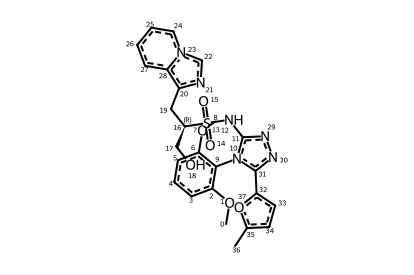 COc1cccc(OC)c1-n1c(NS(=O)(=O)[C@@H](CO)Cc2ncn3ccccc23)nnc1-c1ccc(C)o1